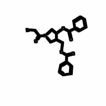 O=C(OCC1CN(C(=O)CBr)CC1OC(=O)c1ccccc1)c1ccccc1